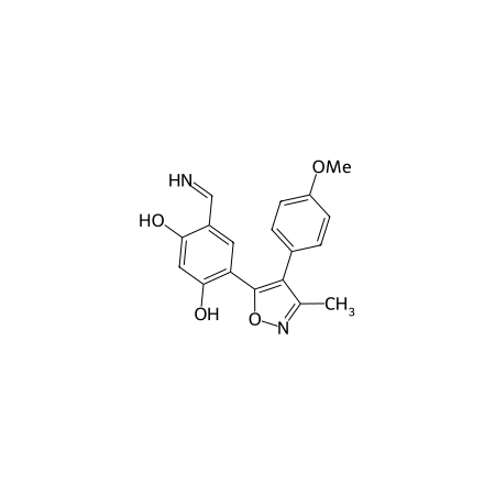 COc1ccc(-c2c(C)noc2-c2cc(C=N)c(O)cc2O)cc1